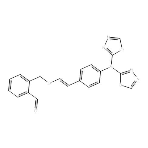 O=Cc1ccccc1COC=Cc1ccc(N(c2nnco2)c2nnco2)cc1